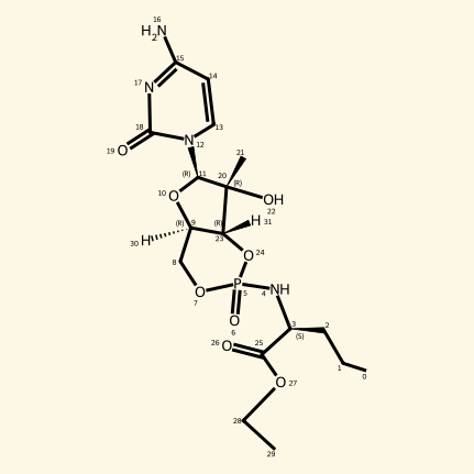 CCC[C@H](NP1(=O)OC[C@H]2O[C@@H](n3ccc(N)nc3=O)[C@](C)(O)[C@@H]2O1)C(=O)OCC